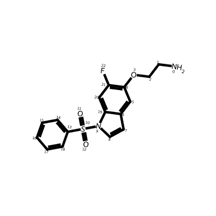 NCCOc1cc2ccn(S(=O)(=O)c3ccccc3)c2cc1F